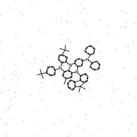 Cc1cc2c3c(c1)N(c1cccc4c1-c1ccccc1C4(C)C)c1cc(N(c4ccccc4)c4ccccc4)ccc1B3c1cc(C(C)(C)C)ccc1N2c1ccc(C(C)(C)C)cc1